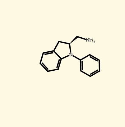 NC[C@@H]1Cc2ccccc2N1c1ccccc1